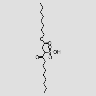 CCCCCCCCOC(=O)CC(C(=O)CCCCCCCC)S(=O)(=O)O